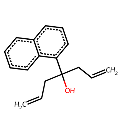 C=CCC(O)(CC=C)c1cccc2ccccc12